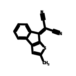 Cc1cc2c(s1)C(=C(C#N)C#N)c1ccccc1-2